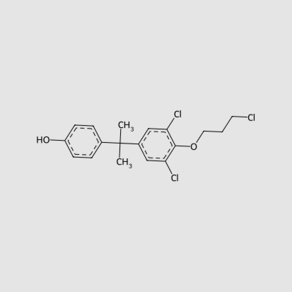 CC(C)(c1ccc(O)cc1)c1cc(Cl)c(OCCCCl)c(Cl)c1